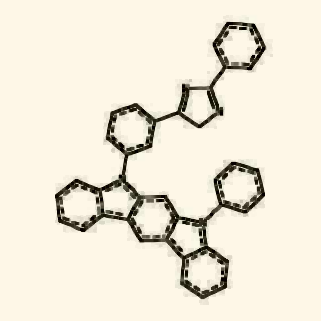 c1ccc(C2=NCC(c3cccc(-n4c5ccccc5c5cc6c7ccccc7n(-c7ccccc7)c6cc54)c3)=N2)cc1